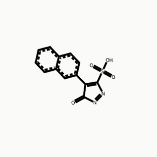 O=C1N=NC(S(=O)(=O)O)=C1c1ccc2ccccc2c1